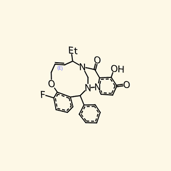 CCC1/C=C/COc2c(F)cccc2C(c2ccccc2)N2CN1C(=O)c1c(O)c(=O)ccn12